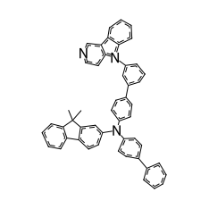 CC1(C)c2ccccc2-c2ccc(N(c3ccc(-c4ccccc4)cc3)c3ccc(-c4cccc(-n5c6ccccc6c6cnccc65)c4)cc3)cc21